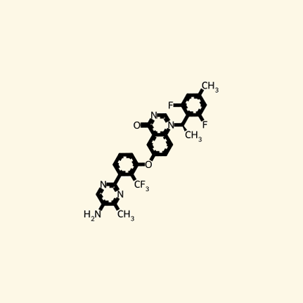 Cc1cc(F)c([C@@H](C)n2cnc(=O)c3cc(Oc4cccc(-c5ncc(N)c(C)n5)c4C(F)(F)F)ccc32)c(F)c1